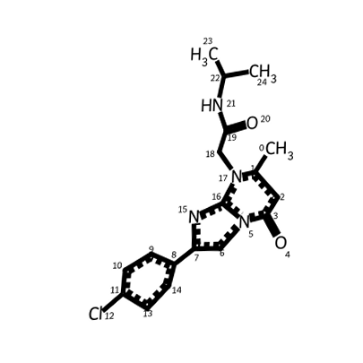 Cc1cc(=O)n2cc(-c3ccc(Cl)cc3)nc2n1CC(=O)NC(C)C